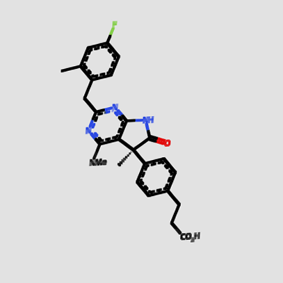 CNc1nc(Cc2ccc(F)cc2C)nc2c1[C@](C)(c1ccc(CCC(=O)O)cc1)C(=O)N2